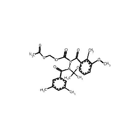 COc1cccc(C(=O)N(C(=O)OCOC(C)=O)N(C(=O)c2cc(C)cc(C)c2)C(C)(C)C)c1C